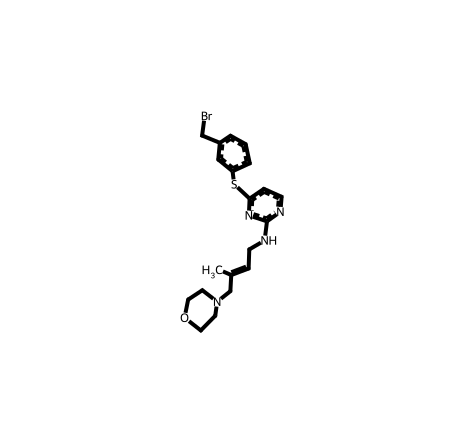 C/C(=C\CNc1nccc(Sc2cccc(CBr)c2)n1)CN1CCOCC1